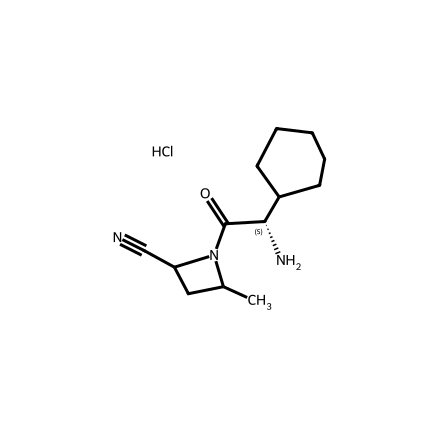 CC1CC(C#N)N1C(=O)[C@@H](N)C1CCCCC1.Cl